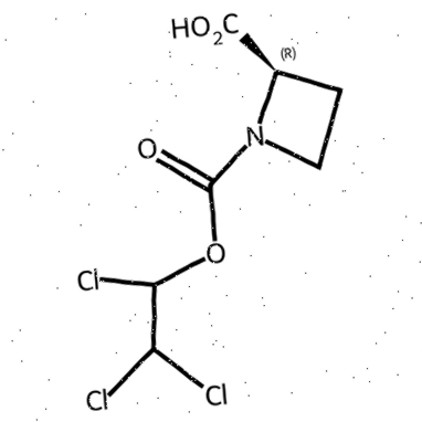 O=C(O)[C@H]1CCN1C(=O)OC(Cl)C(Cl)Cl